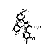 CCOC(=O)c1nc(-c2cccc(OC)n2)n(-c2cc(Cl)ccc2C)c1-c1ccc(F)c(Cl)c1